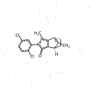 Cn1c2c(c(=O)n1-c1cc(Cl)ccc1Cl)[C@@H]1CC[C@]23CC13C